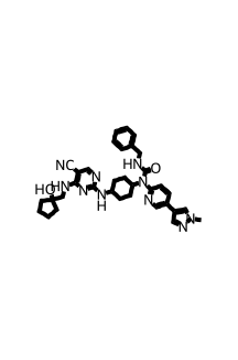 Cn1cc(-c2ccc(N(C(=O)NCc3ccccc3)C3CCC(Nc4ncc(C#N)c(NCC5(O)CCCC5)n4)CC3)nc2)cn1